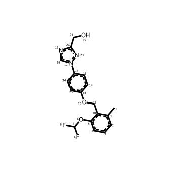 Cc1cccc(OC(F)F)c1COc1ccc(-n2cnc(CO)n2)cc1